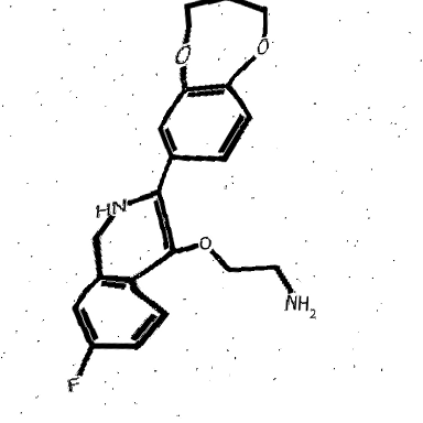 NCCOC1=C(c2ccc3c(c2)OCCCO3)NCc2cc(F)ccc21